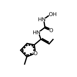 CC=C(NC(=O)NO)c1ccc(C)o1